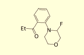 CCC(=O)c1ccccc1N1CCOCC1F